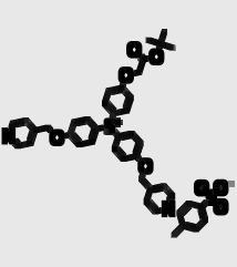 CC(C)(C)OC(=O)COc1ccc([S+](c2ccc(OCc3ccncc3)cc2)c2ccc(OCc3ccncc3)cc2)cc1.Cc1ccc(S(=O)(=O)[O-])cc1